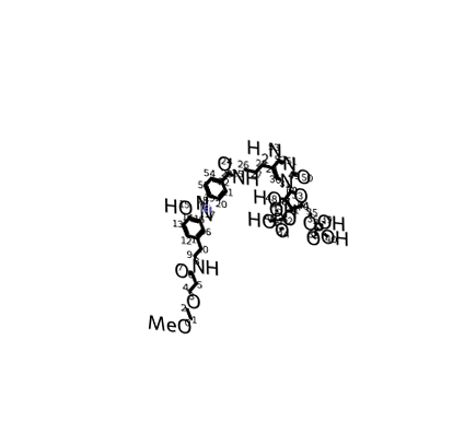 COCCOCCC(=O)NCCc1ccc(O)c(/N=N/c2ccc(C(=O)NCCCc3cn([C@@H]4O[C@H](COP(=O)(O)O)C(OP(=O)(O)O)[C@@H]4O)c(=O)nc3N)cc2)c1